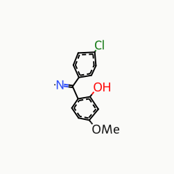 COc1ccc(C(=[N])c2ccc(Cl)cc2)c(O)c1